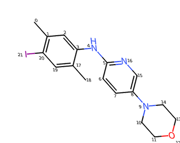 Cc1cc(Nc2ccc(N3CCOCC3)cn2)c(C)cc1I